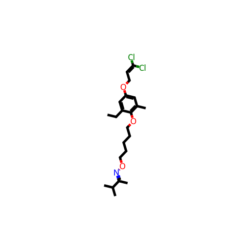 CCc1cc(OCC=C(Cl)Cl)cc(C)c1OCCCCCO/N=C(\C)C(C)C